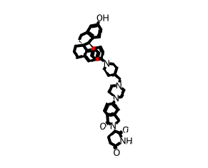 O=C1CC[C@H](N2Cc3cc(N4CCN(CC5CCN(c6ccc([C@@H]7c8ccc(O)cc8CC[C@]78CCCc7ccccc78)cc6)CC5)CC4)ccc3C2=O)C(=O)N1